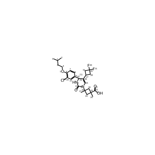 CC(C)CCOc1ccc([C@]2(C)NC(=O)N(C3(C)CC(C)(C(=O)O)C3)C=C2C2CC(F)(F)C2)cc1Cl